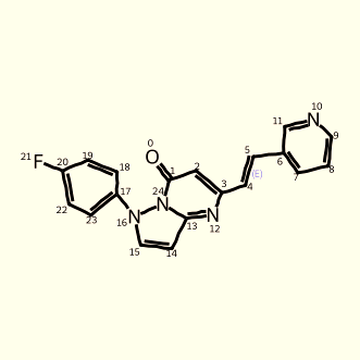 O=c1cc(/C=C/c2cccnc2)nc2ccn(-c3ccc(F)cc3)n12